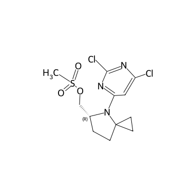 CS(=O)(=O)OC[C@H]1CCC2(CC2)N1c1cc(Cl)nc(Cl)n1